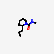 CCCC1CCCCN1C(=O)NC